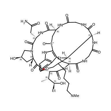 CC[C@@H]1C(CCCCNC)COc2ccc3c4c([nH]c3c2)[S+]([O-])C[C@@H]2NC(=O)CNC(=O)[C@H]1NC(=O)CNC(=O)[C@H](C4)NC(=O)[C@H]([C@@H](C)[C@@H](O)CC)NC(=O)[C@@H]1C[C@@H](O)CN1C(=O)[C@H](CC(N)=O)NC2=O